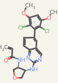 C=CC(=O)N[C@@H]1COC[C@@H]1Nc1ncc2cc(-c3c(Cl)c(OC)cc(OC)c3Cl)ccc2n1